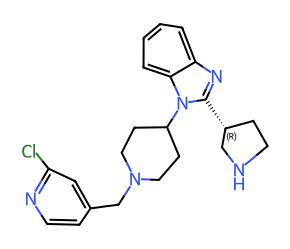 Clc1cc(CN2CCC(n3c([C@@H]4CCNC4)nc4ccccc43)CC2)ccn1